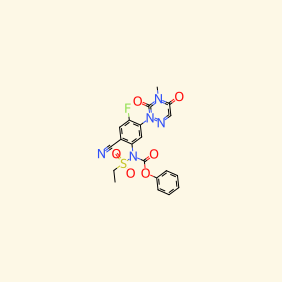 CCS(=O)(=O)N(C(=O)Oc1ccccc1)c1cc(-n2ncc(=O)n(C)c2=O)c(F)cc1C#N